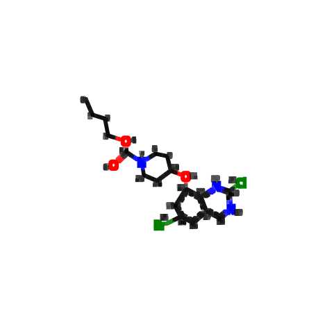 CCCCOC(=O)N1CCC(Oc2cc(Br)cc3cnc(Cl)nc23)CC1